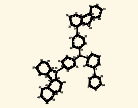 c1ccc(-c2cccc(N(c3ccc(-c4cccc5c4oc4ccccc45)cc3)c3ccc(-n4c5ccccc5c5c6ccccc6ccc54)cc3)c2)cc1